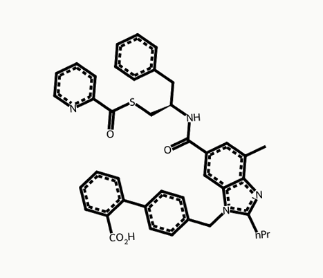 CCCc1nc2c(C)cc(C(=O)N[C@@H](CSC(=O)c3ccccn3)Cc3ccccc3)cc2n1Cc1ccc(-c2ccccc2C(=O)O)cc1